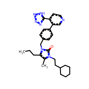 CCCc1c(C)n(CCC2CCCCC2)c(=O)n1Cc1ccc(-c2cnccc2-c2nnn[nH]2)cc1